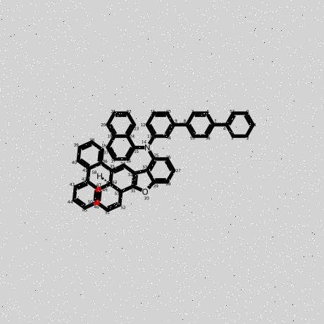 C1=CCCC(c2ccc(-c3cccc(N(c4cccc5ccccc45)c4cccc5oc6c(c45)C=C(c4ccccc4-c4ccccc4)[C@@H]4C=CC=CC64)c3)cc2)=C1